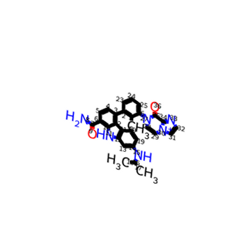 Cc1c(-c2ccc(C(N)=O)c3[nH]c4cc(NC(C)C)ccc4c23)cccc1N1C=C[N+]2C=CN=C2C1=O